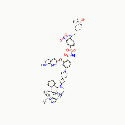 CC(C)c1ccccc1C1CN(Cc2cnn(C(C)C)c2)CCN1C1CC2(CCN(c3ccc(C(=O)NS(=O)(=O)c4ccc(NC[C@H]5CC[C@](C)(O)CC5)c([N+](=O)[O-])c4)c(Oc4cnc5[nH]ccc5c4)c3)CC2)C1